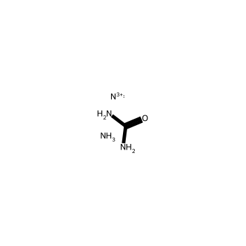 N.NC(N)=O.[N+3]